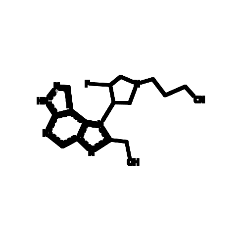 N#CCCCN1CC(F)C(n2c(CO)nc3cnc4[nH]ncc4c32)C1